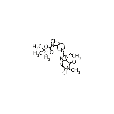 CCn1c(N2CCCC(N(C)C(=O)OC(C)(C)C)C2)nc2nc(Cl)n(C)c(=O)c21